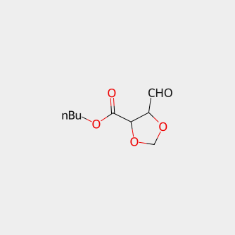 CCCCOC(=O)C1OCOC1C=O